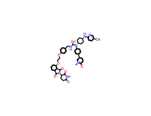 Cn1cc(-c2ccc(N(C(O)NCc3ccc(OCCOc4cccc5c4C(=O)N(C4CCC(=O)NC4=O)C5=O)cc3)[C@H]3CC[C@H](Nc4ccc(C#N)cn4)CC3)cc2)ccc1=O